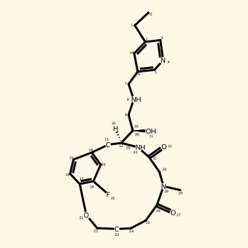 CCc1cncc(CNC[C@@H](O)[C@@H]2Cc3ccc(c(F)c3)OCCCCC(=O)N(C)CC(=O)N2)c1